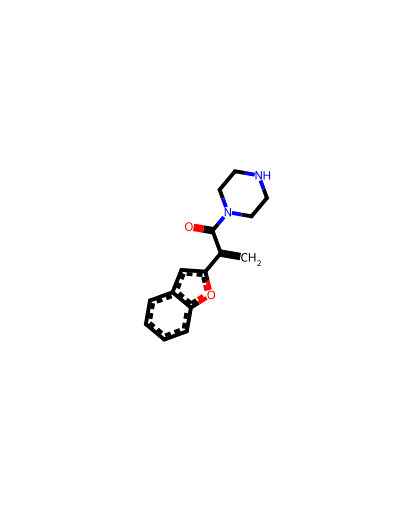 C=C(C(=O)N1CCNCC1)c1cc2ccccc2o1